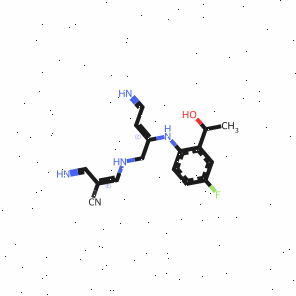 CC(O)c1cc(F)ccc1N/C(=C\C=N)CN/C=C(/C#N)C=N